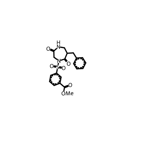 COC(=O)c1cccc(S(=O)(=O)N2CC(=O)NCC(Cc3ccccc3)C2=O)c1